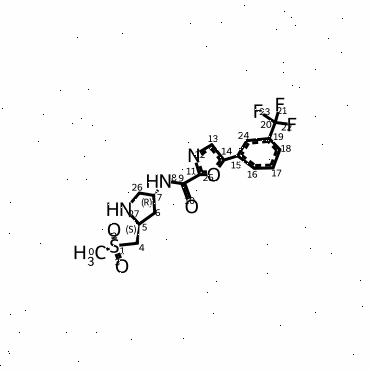 CS(=O)(=O)C[C@@H]1C[C@@H](NC(=O)c2ncc(-c3cccc(C(F)(F)F)c3)o2)CN1